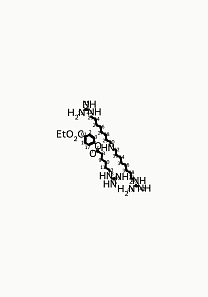 CCOC(=O)c1ccc(OC(=O)CCCCCNC(=N)N)cc1.N=C(N)NCCCCCCCCNCCCCCCCCNC(=N)N